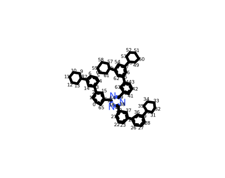 c1cc(-c2cccc(C3CCCCC3)c2)cc(-c2nc(-c3cccc(-c4cccc(C5CCCCC5)c4)c3)nc(-c3cccc(-c4cc(C5CCCCC5)cc(C5CCCCC5)c4)c3)n2)c1